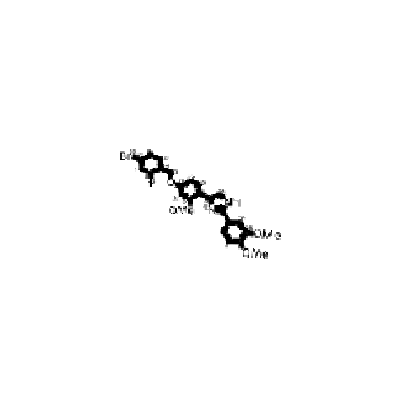 COc1ccc(-c2nc(-c3ccc(OCc4ccc(Br)cc4F)cc3OC)c[nH]2)cc1OC